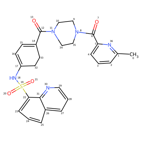 Cc1cccc(C(=O)N2CCN(C(=O)C3=CC=C(NS(=O)(=O)c4cccc5cccnc45)CC3)CC2)n1